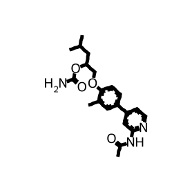 CC(=O)Nc1cc(-c2ccc(OCC(CC(C)C)OC(N)=O)c(C)c2)ccn1